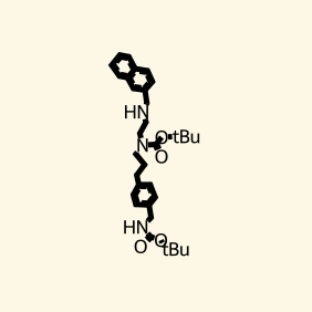 CC(C)(C)OC(=O)NCc1ccc(CCCN(CCNCc2ccc3ccccc3c2)C(=O)OC(C)(C)C)cc1